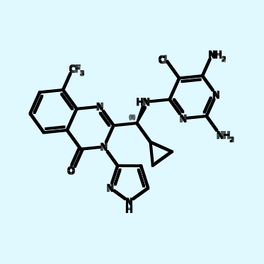 Nc1nc(N)c(Cl)c(N[C@H](c2nc3c(C(F)(F)F)cccc3c(=O)n2-c2cc[nH]n2)C2CC2)n1